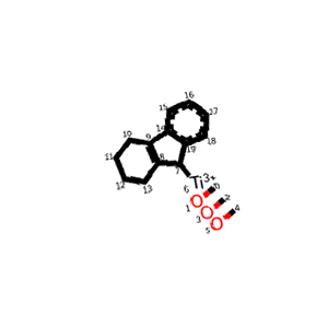 C[O-].C[O-].C[O-].[Ti+3][CH]1C2=C(CCCC2)c2ccccc21